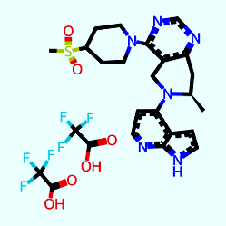 C[C@@H]1Cc2ncnc(N3CCC(S(C)(=O)=O)CC3)c2CN1c1ccnc2[nH]ccc12.O=C(O)C(F)(F)F.O=C(O)C(F)(F)F